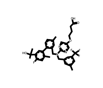 Cc1cc(CN(Cc2cc(C)ccc2-c2cc(C(C)(C)O)c(F)cc2C)c2ncc(OCCCC(=O)O)cn2)cc(C(F)(F)F)c1